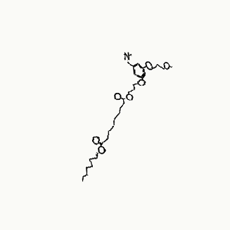 CCCCCCCCOC(=O)CCCCCCCC(=O)OCCCOc1cc(CN(C)C)cc(OCCCOC)c1